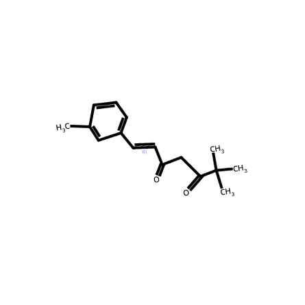 Cc1cccc(/C=C/C(=O)CC(=O)C(C)(C)C)c1